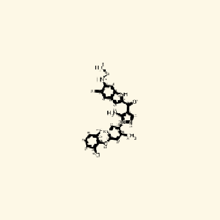 CSNc1cc2[nH]c(C(=O)c3cnn(-c4cnc(Oc5c(F)cccc5Cl)cc4C)c3N)cc2cc1I